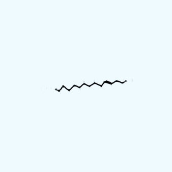 CC(C)CCC=CCCCCCCCCCC(=O)O